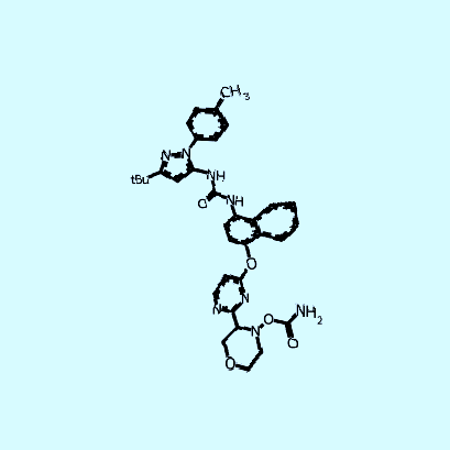 Cc1ccc(-n2nc(C(C)(C)C)cc2NC(=O)Nc2ccc(Oc3ccnc(C4COCCN4OC(N)=O)n3)c3ccccc23)cc1